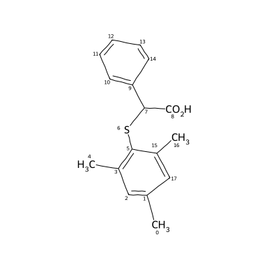 Cc1cc(C)c(SC(C(=O)O)c2ccccc2)c(C)c1